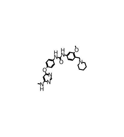 CNc1cc(Oc2ccc(NC(=O)Nc3ccc(CN4CCCCC4)c(OC)c3)cc2)ncn1